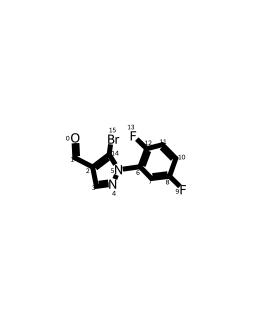 O=Cc1cnn(-c2cc(F)ccc2F)c1Br